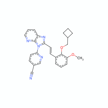 COc1cccc(C=Cc2nc3cccnc3n2-c2ccc(C#N)cn2)c1OCC1CCC1